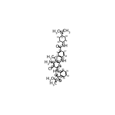 COc1cc(C(=O)NC2CCC(N(C)C)CC2)ccc1Nc1nc(N)c(Cl)c(Nc2ccccc2S(=O)(=O)C(C)C)n1